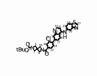 CC(C)(C)OC(=O)N1CC2(C1)CN(C(=O)c1ccc(-c3ccc4c(Nc5ccc6scnc6c5)ccnc4c3)c(Cl)c1)C2